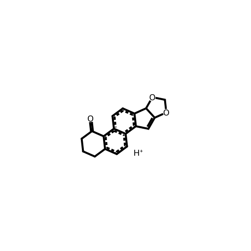 O=C1CCCc2ccc3c4c(ccc3c21)C1OCOC1=C4.[H+]